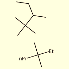 CCC(C)C(C)(C)C.CCCC(C)(C)CC